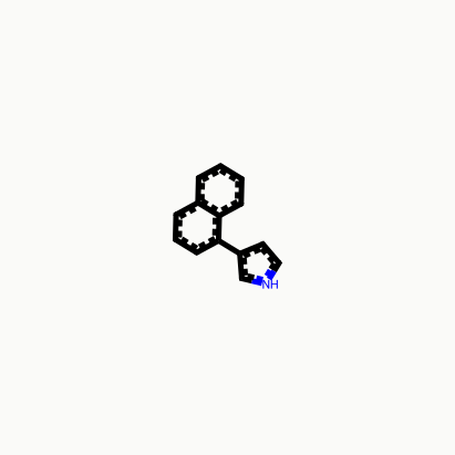 c1ccc2c(-c3cc[nH]c3)cccc2c1